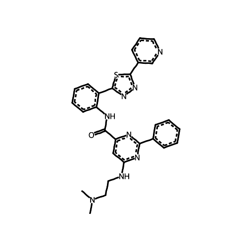 CN(C)CCNc1cc(C(=O)Nc2ccccc2-c2nnc(-c3cccnc3)s2)nc(-c2ccccc2)n1